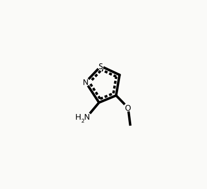 COc1csnc1N